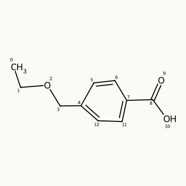 CCOCc1ccc(C(=O)O)cc1